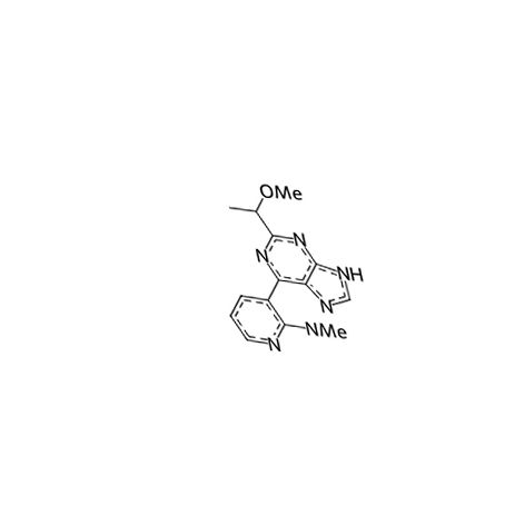 CNc1ncccc1-c1nc(C(C)OC)nc2[nH]cnc12